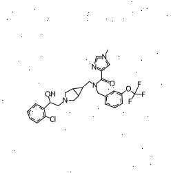 Cn1cnc(C(=O)N(Cc2cccc(OC(F)(F)F)c2)CC2C3CN(CC(O)c4ccccc4Cl)CC32)c1